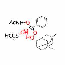 CC(=O)NO[As](=O)(OO)c1ccccc1.CC12CC3CC(C1)CC(C)(C3)C2.O=S(=O)(O)O